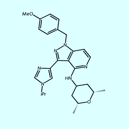 COc1ccc(Cn2nc(-c3cn(C(C)C)cn3)c3c(NC4C[C@@H](C)O[C@@H](C)C4)nccc32)cc1